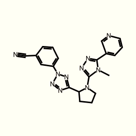 Cn1c(-c2cccnc2)nnc1N1CCCC1c1nnn(-c2cccc(C#N)c2)n1